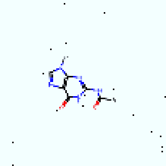 CC(=O)n1cnc2c(=O)[nH]c(NC(=O)C(C)C)nc21